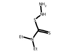 CCN(CC)C(=S)SNN